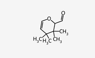 CC1(C)C=COC(C=O)C1(C)C